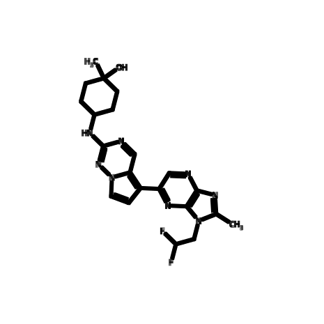 Cc1nc2ncc(-c3ccn4nc(NC5CCC(C)(O)CC5)ncc34)nc2n1CC(F)F